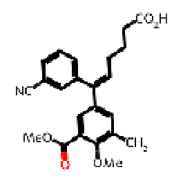 COC(=O)c1cc(C(=CCCCC(=O)O)c2cccc(C#N)c2)cc(C)c1OC